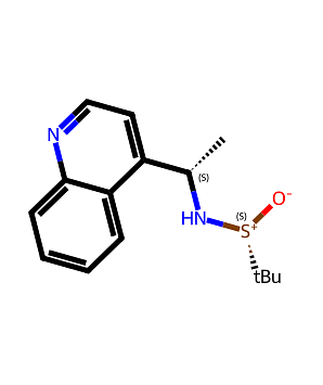 C[C@H](N[S@+]([O-])C(C)(C)C)c1ccnc2ccccc12